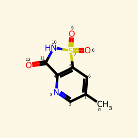 Cc1cnc2c(c1)S(=O)(=O)NC2=O